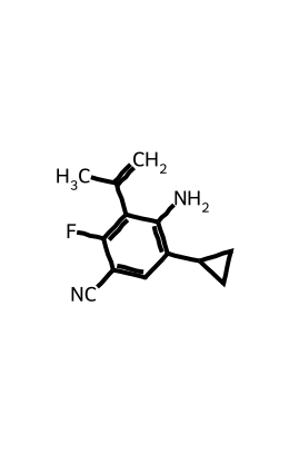 C=C(C)c1c(N)c(C2CC2)cc(C#N)c1F